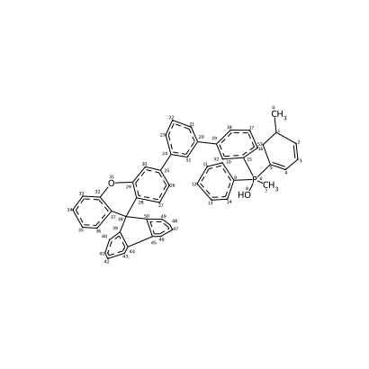 CC1C=CC=C(P(C)(O)(c2ccccc2)c2cccc(-c3cccc(-c4ccc5c(c4)Oc4ccccc4C54c5ccccc5-c5ccccc54)c3)c2)C1